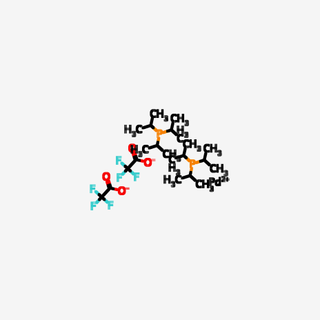 CC(C)P(C(C)C)C(C)C.CC(C)P(C(C)C)C(C)C.O=C([O-])C(F)(F)F.O=C([O-])C(F)(F)F.[Pd+2]